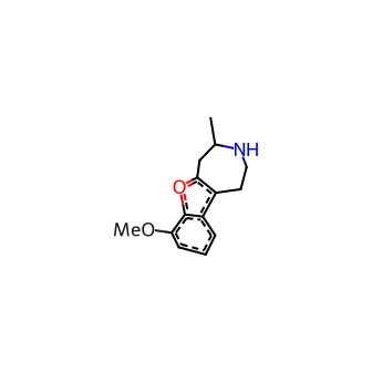 COc1cccc2c3c(oc12)CC(C)NCC3